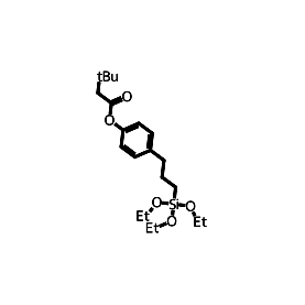 CCO[Si](CCCc1ccc(OC(=O)CC(C)(C)C)cc1)(OCC)OCC